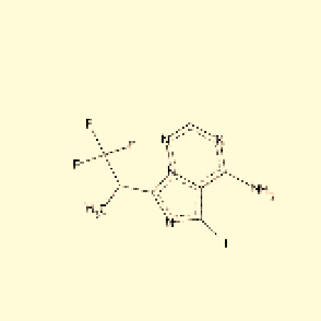 CC(c1nc(I)c2c(N)ncnn12)C(F)(F)F